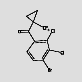 O=C(c1ccc(Br)c(Cl)c1Cl)C1(C(F)(F)F)CC1